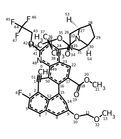 C#Cc1c(F)ccc2cc(OCOC)cc(-c3c(C(=O)OC)cc4c(N5C[C@H]6CC[C@@H](C5)N6C(=O)OC(C)(C)C)nc(OCC(F)(F)F)nc4c3F)c12